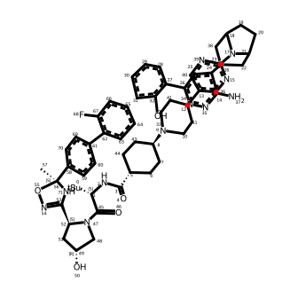 CC(C)(C)[C@H](NC(=O)[C@H]1CC[C@H](N2CCC(c3cnc(N4C5CCC4CN(c4cc(-c6ccccc6O)nnc4N)C5)nc3)CC2)CC1)C(=O)N1C[C@H](O)C[C@H]1C1=NO[C@@](C)(c2ccc(-c3ccccc3F)cc2)N1